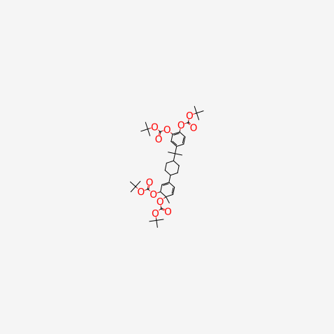 CC(C)(C)OC(=O)Oc1ccc(C(C)(C)C2CCC(C3=CC(OC(=O)OC(C)(C)C)C(C)(OC(=O)OC(C)(C)C)C=C3)CC2)cc1OC(=O)OC(C)(C)C